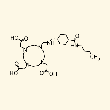 CCCCNC(=O)[C@H]1CC[C@H](CNCN2CCN(CC(=O)O)CCN(CC(=O)O)CCN(CC(=O)O)CC2)CC1